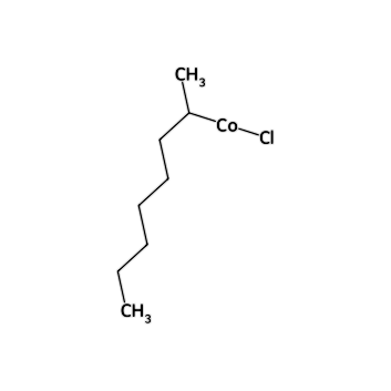 CCCCCC[CH](C)[Co][Cl]